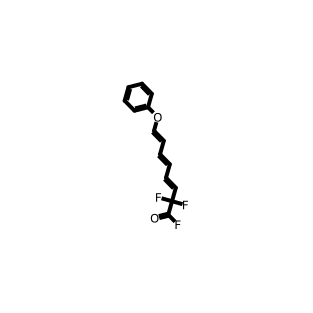 O=C(F)C(F)(F)C=CC=CC=COc1ccccc1